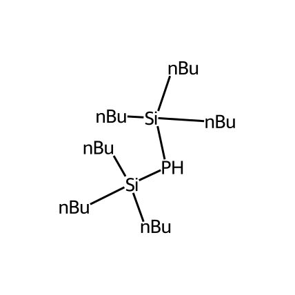 CCCC[Si](CCCC)(CCCC)P[Si](CCCC)(CCCC)CCCC